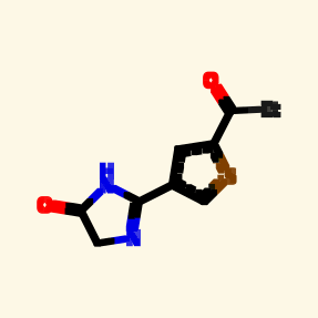 CCC(=O)c1cc(C2=NCC(=O)N2)cs1